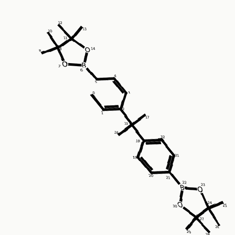 C/C=C(\C=C/CB1OC(C)(C)C(C)(C)O1)C(C)(C)c1ccc(B2OC(C)(C)C(C)(C)O2)cc1